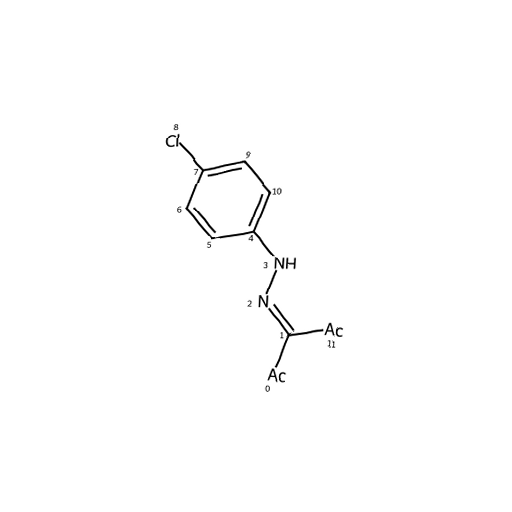 CC(=O)C(=NNc1ccc(Cl)cc1)C(C)=O